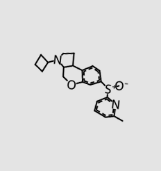 Cc1cccc([S+]([O-])c2ccc3c(c2)OCC2C3CCN2C2CCC2)n1